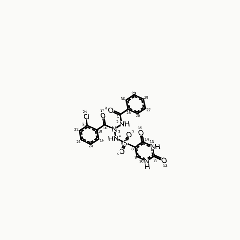 O=C(NN(NS(=O)(=O)c1c[nH]c(=O)[nH]c1=O)C(=O)c1ccccc1Cl)c1ccccc1